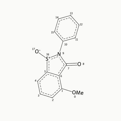 COc1cccc2c1c(=O)n(-c1ccccc1)[s+]2[O-]